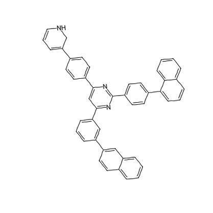 C1=CNCC(c2ccc(-c3cc(-c4cccc(-c5ccc6ccccc6c5)c4)nc(-c4ccc(-c5cccc6ccccc56)cc4)n3)cc2)=C1